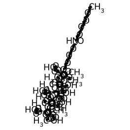 CCCOCCOCCOCCOCC(=O)NCCOCCOCCOCCO[C@H]1[C@H](OC)[C@@H](OC)[C@@H](O[C@H]2[C@H](OC)[C@@H](OC)[C@H](O[C@H]3[C@H](OS(=O)(=O)O)[C@@H](OS(=O)(=O)O)[C@@H](O[C@H]4[C@H](OC)[C@@H](OC)[C@H](O[C@H]5[C@H](OC)[C@@H](OS(=O)(=O)O)[C@@H](OC)O[C@@H]5COS(=O)(=O)O)O[C@H]4C(=O)O)O[C@@H]3COS(=O)(=O)O)O[C@@H]2C(=O)O)O[C@@H]1COS(=O)(=O)O